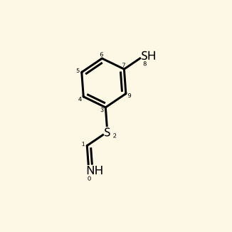 N=CSc1cccc(S)c1